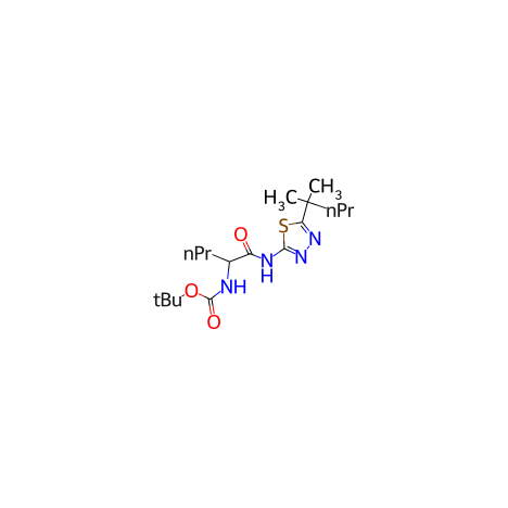 CCCC(NC(=O)OC(C)(C)C)C(=O)Nc1nnc(C(C)(C)CCC)s1